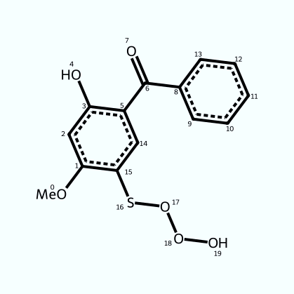 COc1cc(O)c(C(=O)c2ccccc2)cc1SOOO